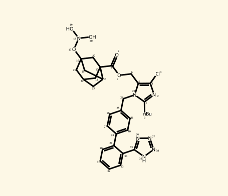 CCCCc1nc(Cl)c(COC(=O)C23CC4CC2CC(ON(O)O)(C4)C3)n1Cc1ccc(-c2ccccc2-c2nnn[nH]2)cc1